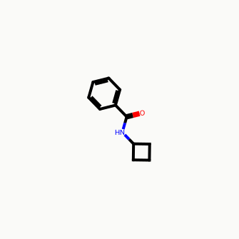 O=C(NC1CCC1)c1ccccc1